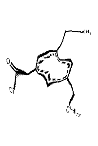 CCc1cc(CC)cc(C(=O)Cl)c1